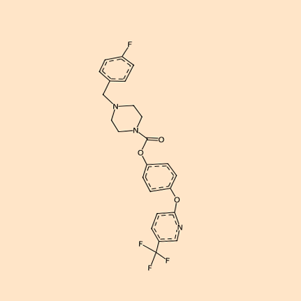 O=C(Oc1ccc(Oc2ccc(C(F)(F)F)cn2)cc1)N1CCN(Cc2ccc(F)cc2)CC1